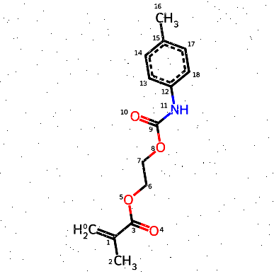 C=C(C)C(=O)OCCOC(=O)Nc1ccc(C)cc1